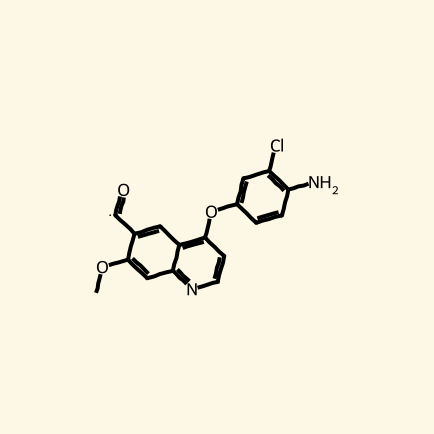 COc1cc2nccc(Oc3ccc(N)c(Cl)c3)c2cc1[C]=O